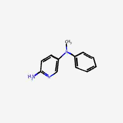 CN(c1ccccc1)c1ccc(N)nc1